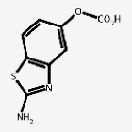 Nc1nc2cc(OC(=O)O)ccc2s1